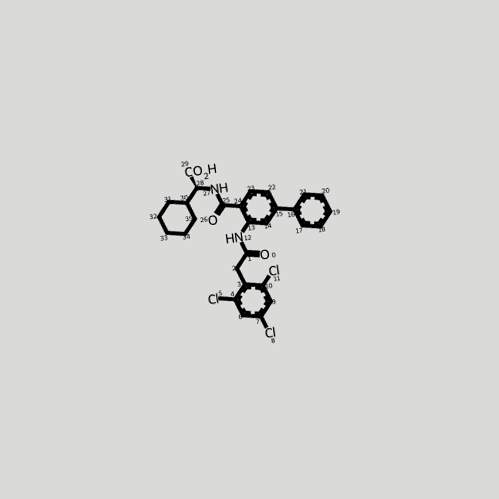 O=C(Cc1c(Cl)cc(Cl)cc1Cl)Nc1cc(-c2ccccc2)ccc1C(=O)N[C@H](C(=O)O)C1CCCCC1